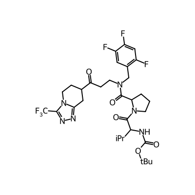 CC(C)C(NC(=O)OC(C)(C)C)C(=O)N1CCCC1C(=O)N(CCC(=O)C1CCn2c(nnc2C(F)(F)F)C1)Cc1cc(F)c(F)cc1F